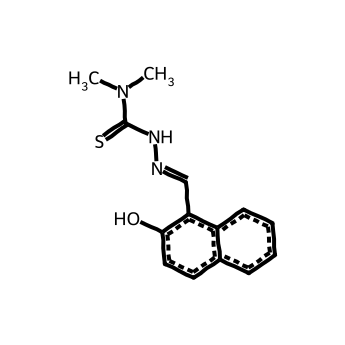 CN(C)C(=S)NN=Cc1c(O)ccc2ccccc12